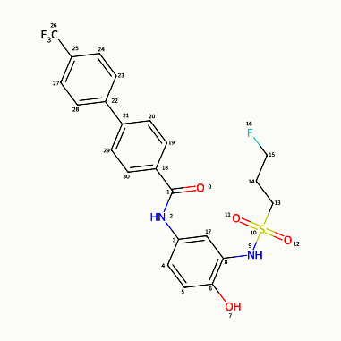 O=C(Nc1ccc(O)c(NS(=O)(=O)CCCF)c1)c1ccc(-c2ccc(C(F)(F)F)cc2)cc1